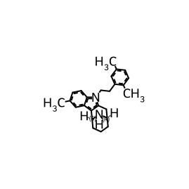 Cc1ccc(C)c(CCn2c3c(c4cc(C)ccc42)[C@@H]2CCC[C@H](C3)N2)c1